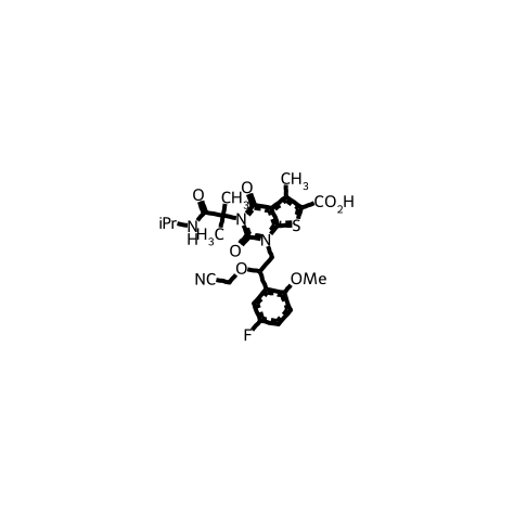 COc1ccc(F)cc1C(Cn1c(=O)n(C(C)(C)C(=O)NC(C)C)c(=O)c2c(C)c(C(=O)O)sc21)OCC#N